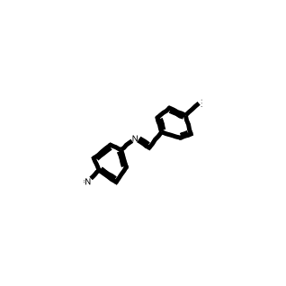 [C]c1ccc(C=Nc2ccc([N])cc2)cc1